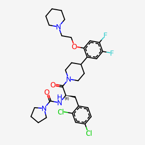 O=C(N[C@H](Cc1ccc(Cl)cc1Cl)C(=O)N1CCC(c2cc(F)c(F)cc2OCCN2CCCCC2)CC1)N1CCCC1